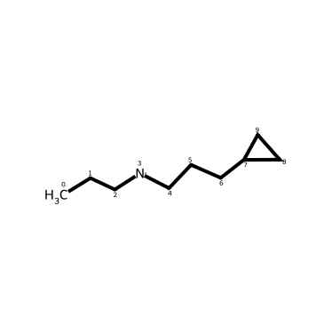 CCC[N]CCCC1CC1